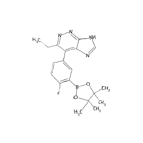 CCc1nnc2[nH]cnc2c1-c1ccc(F)c(B2OC(C)(C)C(C)(C)O2)c1